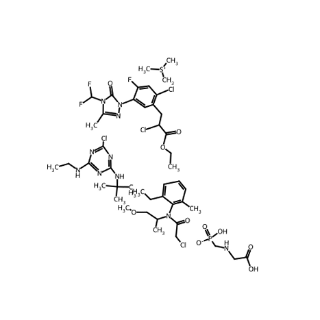 CCNc1nc(Cl)nc(NC(C)(C)C)n1.CCOC(=O)C(Cl)Cc1cc(-n2nc(C)n(C(F)F)c2=O)c(F)cc1Cl.CCc1cccc(C)c1N(C(=O)CCl)C(C)COC.C[S+](C)C.O=C(O)CNCP(=O)([O-])O